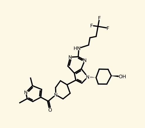 Cc1cc(C(=O)N2CCC(c3cn([C@H]4CC[C@H](O)CC4)c4nc(NCCCC(F)(F)F)ncc34)CC2)cc(C)n1